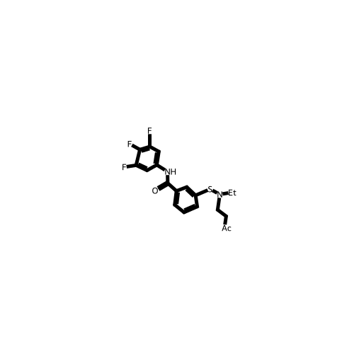 CCN(CCC(C)=O)Sc1cccc(C(=O)Nc2cc(F)c(F)c(F)c2)c1